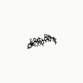 Cc1c(-c2cc(C#N)c3oc(CN4CC(F)C4)nc3c2)cccc1-c1cccc(NC(=O)c2nc3c(n2C)CCN(C)C3)c1Cl